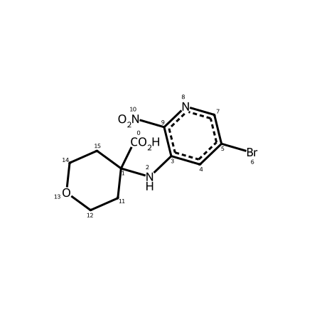 O=C(O)C1(Nc2cc(Br)cnc2[N+](=O)[O-])CCOCC1